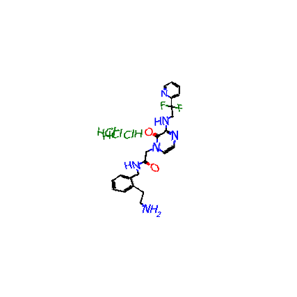 Cl.Cl.Cl.NCCc1ccccc1CNC(=O)Cn1ccnc(NCC(F)(F)c2ccccn2)c1=O